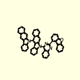 c1ccc2cc3c(cc2c1)c1ccccc1n3-c1c2ccccc2cc2c1c1ccccc1n2-c1nc(-c2cccc3oc4ccccc4c23)nc2ccccc12